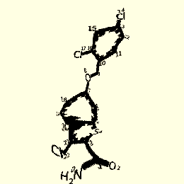 NC(=O)c1sc2cc(OCc3ccc(Cl)cc3Cl)ccc2c1Cl